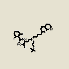 CC(C)(C)OCCN(CCCCc1ccc2c(n1)NCCC2)CCC(NC(=O)c1c(F)cccc1F)C(=O)O